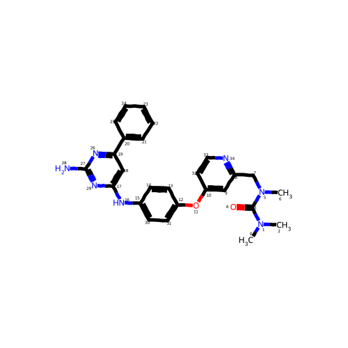 CN(C)C(=O)N(C)Cc1cc(Oc2ccc(Nc3cc(-c4ccccc4)nc(N)n3)cc2)ccn1